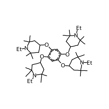 CCN1C(C)(C)CC(Oc2cc(OC3CC(C)(C)N(CC)C(C)(C)C3)c(OC3CC(C)(C)N(CC)C(C)(C)C3)cc2OC2CC(C)(C)N(CC)C(C)(C)C2)CC1(C)C